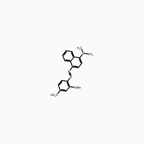 COc1cc(S(=O)(=O)O)ccc1N=Nc1ccc(N(C)C)c2ccccc12